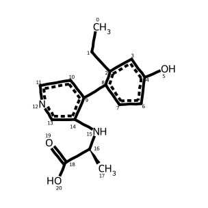 CCc1cc(O)ccc1-c1ccncc1N[C@@H](C)C(=O)O